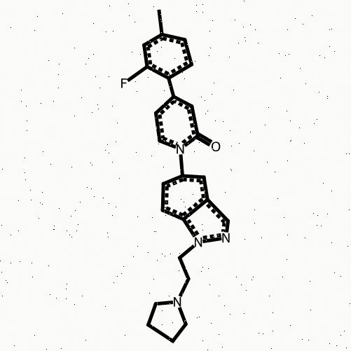 Cc1ccc(-c2ccn(-c3ccc4c(cnn4CCN4CCCC4)c3)c(=O)c2)c(F)c1